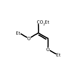 CCOC=C(OCC)C(=O)OCC